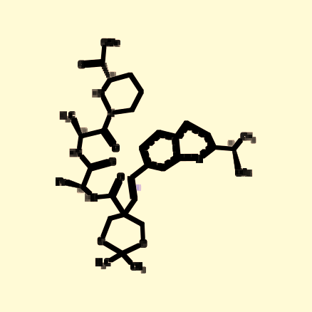 COC(=O)[C@@H]1CCCN(C(=O)[C@H](C)NC(=O)[C@@H](NC(=O)C2(/C=C/c3ccc4ccc([C@@H](C)OC(C)=O)nc4c3)COC(C)(C)OC2)C(C)C)N1